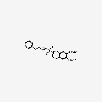 COc1cc2c(cc1OC)CN(S(=O)(=O)/C=C/CCc1ccccc1)CC2